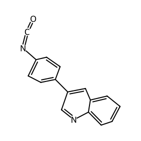 O=C=Nc1ccc(-c2cnc3ccccc3c2)cc1